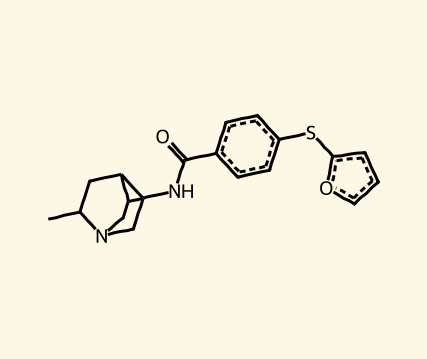 CC1CC2CCN1CC2NC(=O)c1ccc(Sc2ccco2)cc1